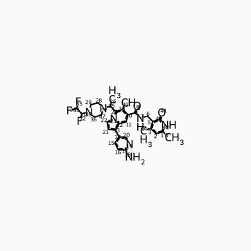 Cc1cc(C)c(CNC(=O)c2cc3c(-c4ccc(N)nc4)ccn3c(C(C)N3CCN(C(F)C(F)F)CC3)c2C)c(=O)[nH]1